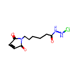 O=C(CCCCCN1C(=O)C=CC1=O)NNCl